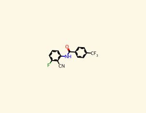 N#Cc1c(F)cccc1NC(=O)c1ccc(C(F)(F)F)cc1